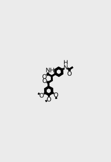 COc1cc(C(=O)CC(C(N)=O)c2ccc(NC(C)=O)cc2)cc(OC)c1OC